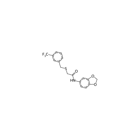 O=C(CSCc1cccc(C(F)(F)F)c1)Nc1ccc2c(c1)OCO2